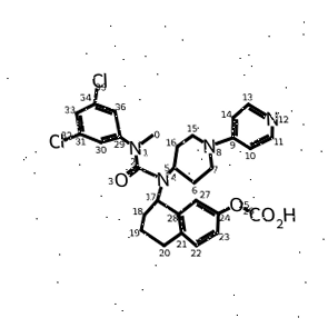 CN(C(=O)N(C1CCN(c2ccncc2)CC1)C1CCCc2ccc(OC(=O)O)cc21)c1cc(Cl)cc(Cl)c1